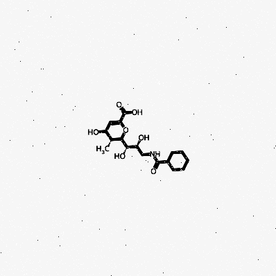 C[C@@H]1C(O)C=C(C(=O)O)OC1[C@@H](O)[C@@H](O)CNC(=O)C1CCCCC1